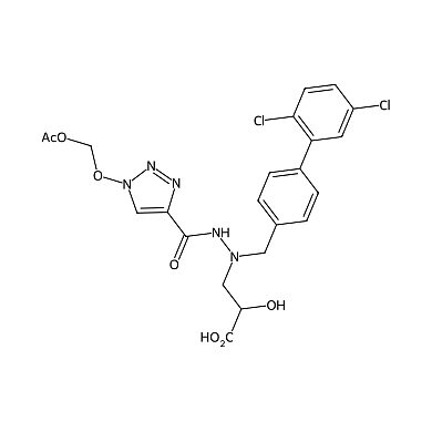 CC(=O)OCOn1cc(C(=O)NN(Cc2ccc(-c3cc(Cl)ccc3Cl)cc2)CC(O)C(=O)O)nn1